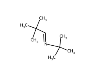 CC(C)(C)C=NC(C)(C)C